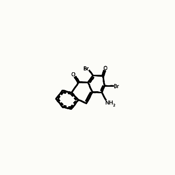 NC1=C(Br)C(=O)C(Br)=C2C(=O)c3ccccc3C=C12